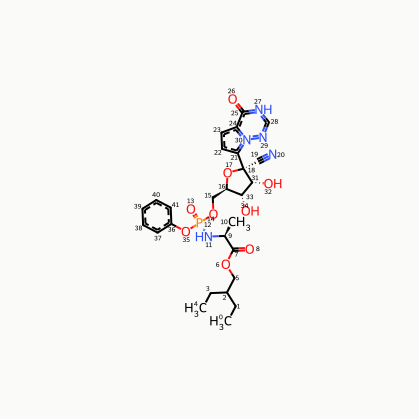 CCC(CC)COC(=O)[C@H](C)N[P@](=O)(OC[C@H]1O[C@@](C#N)(c2ccc3c(=O)[nH]cnn23)[C@H](O)[C@@H]1O)Oc1ccccc1